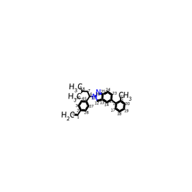 C=Cc1ccc(C(CC(C)C)n2cc3cc(-c4ccccc4C)ccc3n2)cc1